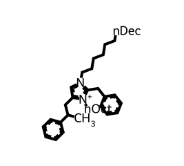 CCCCCCCCCCCCCCCCn1cc(CC(C)c2ccccc2)[n+](CCCCCCCC)c1Cc1ccccc1